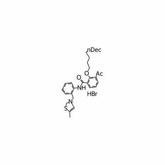 Br.CCCCCCCCCCCCCCOc1c(C(C)=O)cccc1C(=O)Nc1ccccc1CN1C=C(C)SC1